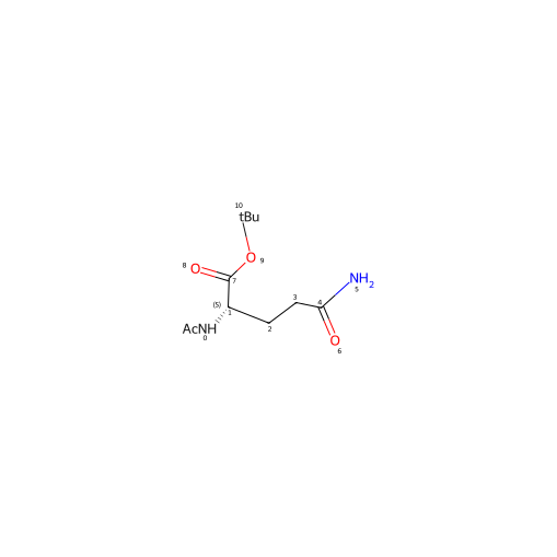 CC(=O)N[C@@H](CCC(N)=O)C(=O)OC(C)(C)C